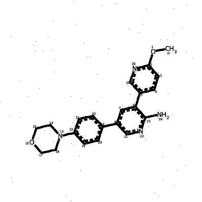 COc1ccc(-c2cc(-c3ccc(N4CCOCC4)cc3)cnc2N)cn1